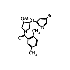 COC1CN(C(=O)c2cc(C)ccc2C)CC1Oc1cncc(Br)c1